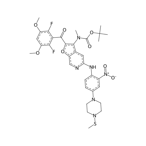 COc1cc(OC)c(F)c(C(=O)c2oc3cnc(Nc4ccc(N5CCN(SC)CC5)cc4[N+](=O)[O-])cc3c2N(C)C(=O)OC(C)(C)C)c1F